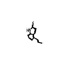 CC=Cc1cccc2[nH]c(=S)ccc12